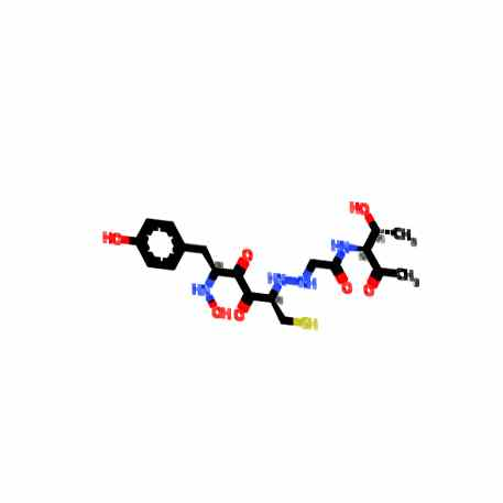 CC(=O)[C@@H](NC(=O)CNN[C@@H](CS)C(=O)C(=O)[C@H](Cc1ccc(O)cc1)NO)[C@@H](C)O